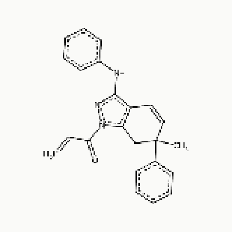 C=CC(=O)n1nc(Nc2ccccc2)c2c1CC(C)(c1ccccc1)C=C2